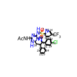 CC(=O)NC(=N)/N=C(/NS(=O)(=O)c1ccc(C(F)(F)F)cn1)N1CCC(c2ccccc2)C(c2ccc(Cl)cc2)=N1